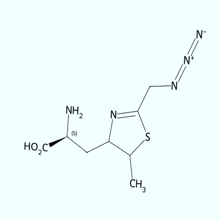 CC1SC(CN=[N+]=[N-])=NC1C[C@H](N)C(=O)O